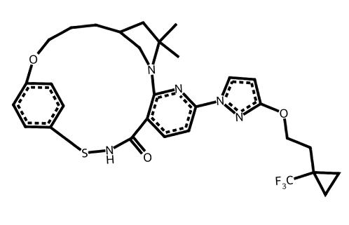 CC1(C)CC2CCCOc3ccc(cc3)SNC(=O)c3ccc(-n4ccc(OCCC5(C(F)(F)F)CC5)n4)nc3N1C2